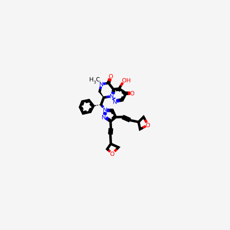 CN1C[C@H]([C@@H](c2ccccc2)n2cc(C#CC3COC3)c(C#CC3COC3)n2)n2ncc(=O)c(O)c2C1=O